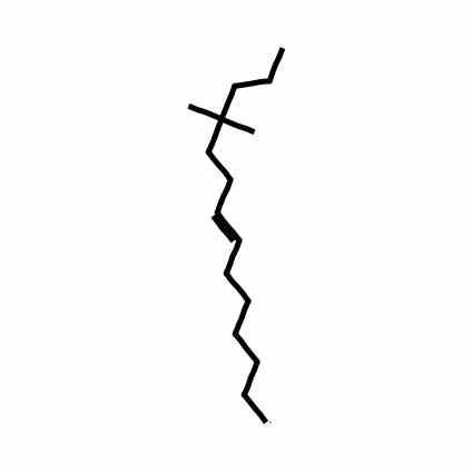 [CH2]CCCCCC=CCCC(C)(C)CCC